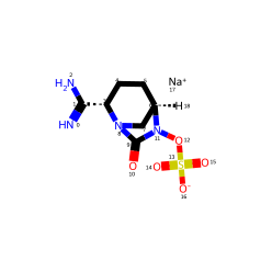 N=C(N)[C@@H]1CC[C@@H]2CN1C(=O)N2OS(=O)(=O)[O-].[Na+]